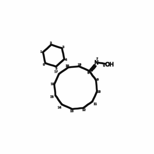 C1CCCCC1.ON=C1CCCCCCCCCCC1